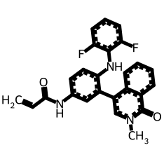 C=CC(=O)Nc1ccc(Nc2c(F)cccc2F)c(-c2cn(C)c(=O)c3ccccc23)c1